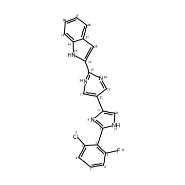 Fc1cccc(Cl)c1-c1nc(-c2cnc(-c3cc4ccccc4[nH]3)nc2)c[nH]1